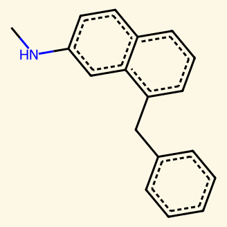 CNc1ccc2cccc(Cc3ccccc3)c2c1